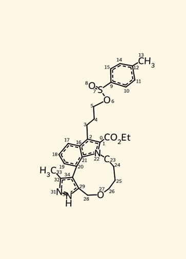 CCOC(=O)c1c(CCCOS(=O)c2ccc(C)cc2)c2cccc3c2n1CCCCOCc1[nH]nc(C)c1-3